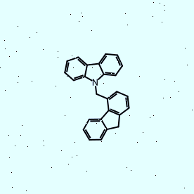 c1ccc2c(c1)Cc1cccc(Cn3c4ccccc4c4ccccc43)c1-2